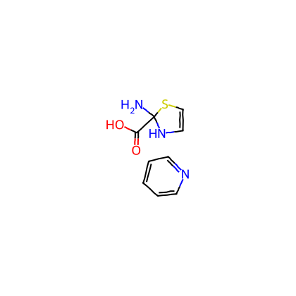 NC1(C(=O)O)NC=CS1.c1ccncc1